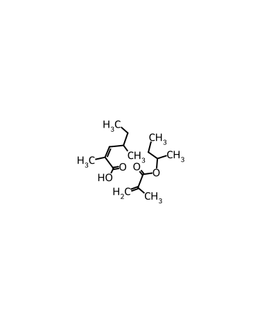 C=C(C)C(=O)OC(C)CC.CCC(C)C=C(C)C(=O)O